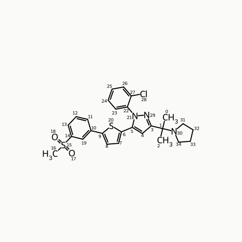 CC(C)(c1cc(-c2ccc(-c3cccc(S(C)(=O)=O)c3)s2)n(-c2ccccc2Cl)n1)N1CCCC1